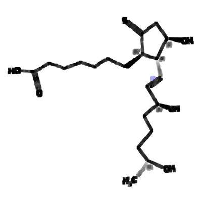 C[C@@H](O)CCC[C@H](O)/C=C/[C@H]1[C@H](O)CC(=S)[C@@H]1CCCCCCC(=O)O